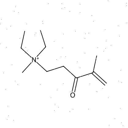 C=C(C)C(=O)CC[N+](C)(CC)CC